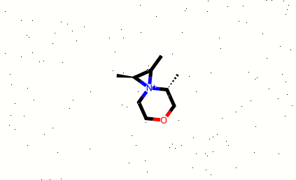 CC1[C@H](C)[N+]12CCOC[C@H]2C